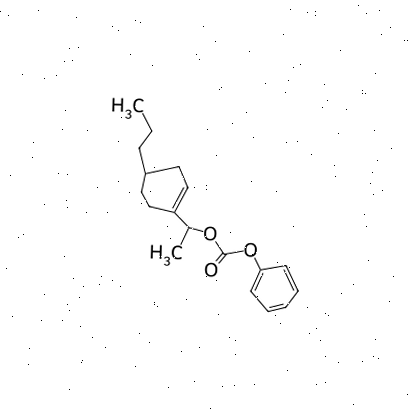 CCCC1CC=C(C(C)OC(=O)Oc2ccccc2)CC1